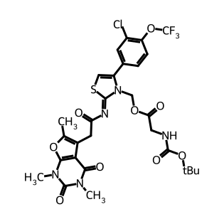 Cc1oc2c(c1CC(=O)/N=c1\scc(-c3ccc(OC(F)(F)F)c(Cl)c3)n1COC(=O)CNC(=O)OC(C)(C)C)c(=O)n(C)c(=O)n2C